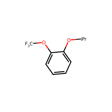 CC(C)Oc1cc[c]cc1OC(F)(F)F